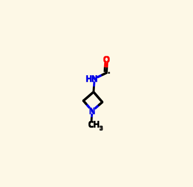 CN1CC(N[C]=O)C1